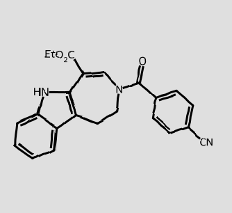 CCOC(=O)C1=CN(C(=O)c2ccc(C#N)cc2)CCc2c1[nH]c1ccccc21